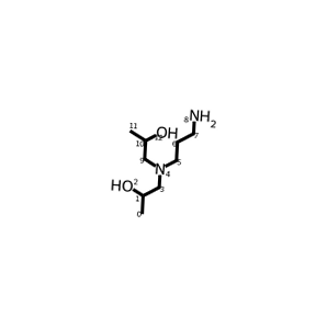 CC(O)CN(CCCN)CC(C)O